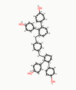 Oc1ccc(-c2cccc(Cc3ccc(Cc4cccc(-c5ccc(O)cc5)c4-c4ccc(O)cc4)cc3)c2-c2ccc(O)cc2)cc1